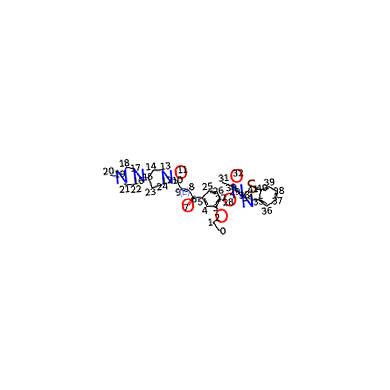 CCOc1cc(C(=O)/C=C/C(=O)N2CCC(N3CCN(C)CC3)CC2)ccc1ON(C(C)=O)c1nc2ccccc2s1